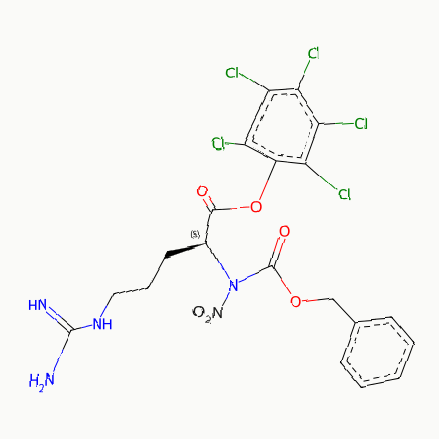 N=C(N)NCCC[C@@H](C(=O)Oc1c(Cl)c(Cl)c(Cl)c(Cl)c1Cl)N(C(=O)OCc1ccccc1)[N+](=O)[O-]